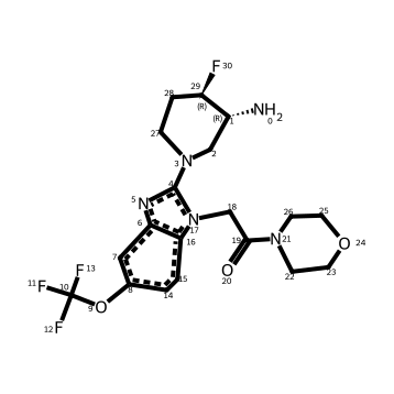 N[C@@H]1CN(c2nc3cc(OC(F)(F)F)ccc3n2CC(=O)N2CCOCC2)CC[C@H]1F